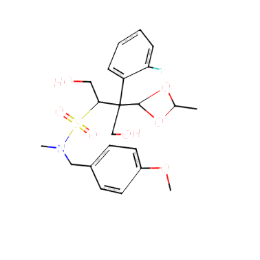 COc1ccc(CN(C)S(=O)(=O)C(CO)C(CO)(c2ccccc2F)C2OC(C)O2)cc1